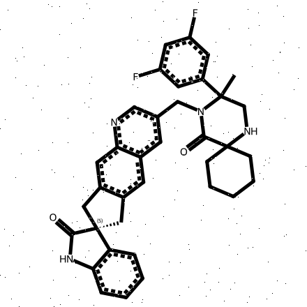 CC1(c2cc(F)cc(F)c2)CNC2(CCCCC2)C(=O)N1Cc1cnc2cc3c(cc2c1)C[C@@]1(C3)C(=O)Nc2ccccc21